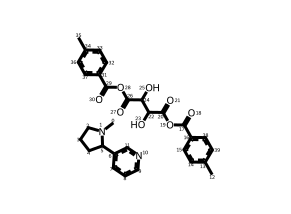 CN1CCCC1c1cccnc1.Cc1ccc(C(=O)OC(=O)C(O)C(O)C(=O)OC(=O)c2ccc(C)cc2)cc1